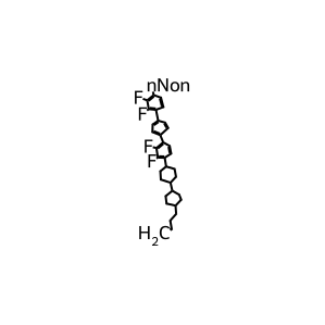 C=CCCC1CCC(C2CCC(c3ccc(-c4ccc(-c5ccc(CCCCCCCCC)c(F)c5F)cc4)c(F)c3F)CC2)CC1